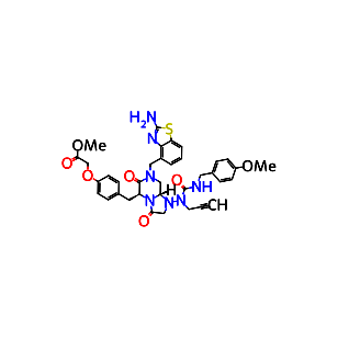 C#CCN(C(=O)NCc1ccc(OC)cc1)N1CC(=O)N2[C@@H](Cc3ccc(OCC(=O)OC)cc3)C(=O)N(Cc3cccc4sc(N)nc34)C[C@@H]21